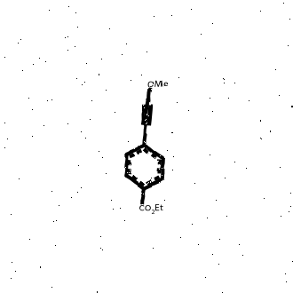 CCOC(=O)c1ccc(C#COC)cc1